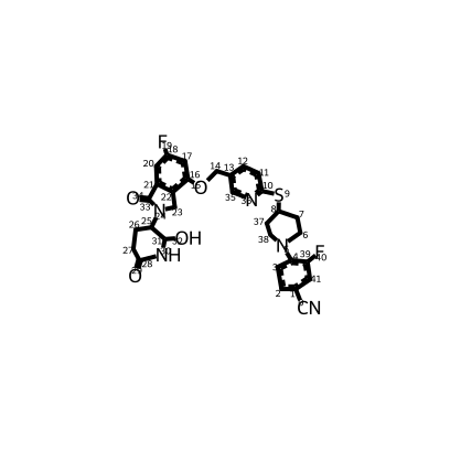 N#Cc1ccc(N2CCC(Sc3ccc(COc4cc(F)cc5c4CN(C4CCC(=O)NC4O)C5=O)cn3)CC2)c(F)c1